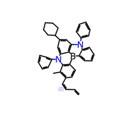 C=C/C=C\c1ccc2c(c1C)N(c1ccccc1)c1cc(C3CCCCC3)cc3c1B2c1ccccc1N3c1ccccc1